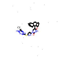 O=c1[nH]c(=O)n(-c2ccc(Sc3n[nH]c(C(F)(F)F)n3)nn2)cc1C1c2ccccc2C=Cc2ccccc21